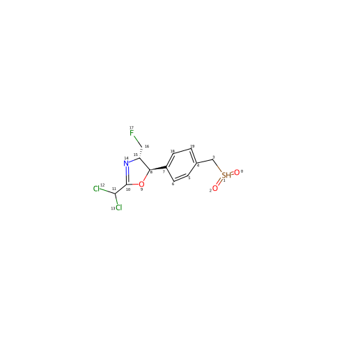 O=[SH](=O)Cc1ccc([C@H]2OC(C(Cl)Cl)=N[C@@H]2CF)cc1